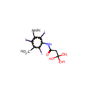 CC(=O)Nc1c(I)c(NC(=O)CC(O)(O)O)c(I)c(C(=O)O)c1I